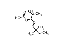 CCC(C)(C)OOC(OC(=O)O)C(C)C